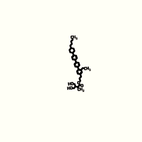 C=C(C(=O)OCCCc1ccc(-c2ccc(-c3ccc(C4CCC(CCCCC)CC4)cc3)cc2)c(CC)c1)C(CO)CO